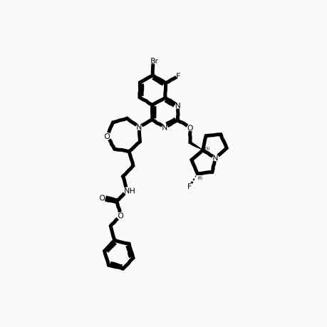 O=C(NCCC1COCCN(c2nc(OC[C@@]34CCCN3C[C@H](F)C4)nc3c(F)c(Br)ccc23)C1)OCc1ccccc1